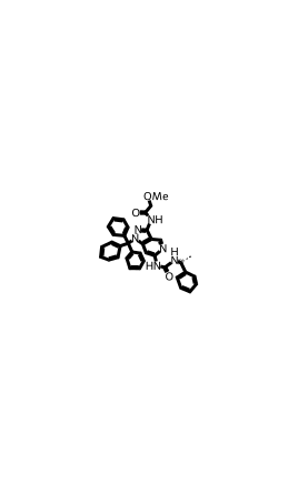 COCC(=O)Nc1nn(C(c2ccccc2)(c2ccccc2)c2ccccc2)c2cc(NC(=O)N[C@H](C)c3ccccc3)ncc12